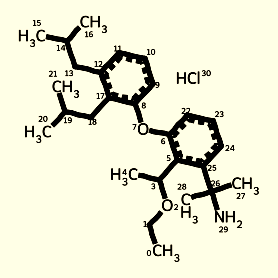 CCOC(C)c1c(Oc2cccc(CC(C)C)c2CC(C)C)cccc1C(C)(C)N.Cl